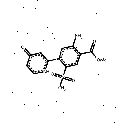 COC(=O)c1cc(S(C)(=O)=O)c(-c2cc(=O)cc[nH]2)cc1N